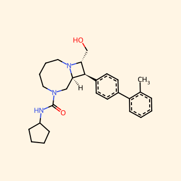 Cc1ccccc1-c1ccc([C@@H]2[C@@H](CO)N3CCCCN(C(=O)NC4CCCC4)C[C@H]23)cc1